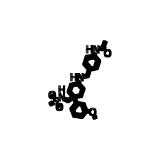 COc1cccc(C2(CNS(C)(=O)=O)CCC(NCc3ccc(NC(C)=O)cc3)CC2)c1